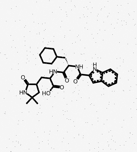 CC1(C)CC(CC(NC(=O)[C@H](CC2CCCCC2)NC(=O)c2cc3ccccc3[nH]2)C(=O)O)C(=O)N1